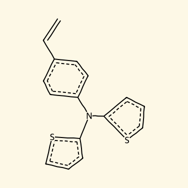 C=Cc1ccc(N(c2cccs2)c2cccs2)cc1